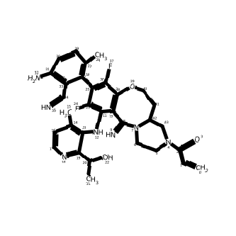 C=CC(=O)N1CCN2C(=N)c3c(Nc4c(C)ccnc4C(C)O)c(F)c(-c4c(C)ccc(N)c4C=N)c(F)c3OCCC2C1